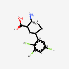 CCC(CC(CN)C(=O)O)c1cc(F)cc(F)c1F